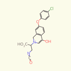 O=C=NCC(C(=O)O)N1C=C(O)c2ccc(Oc3ccc(Cl)cc3)cc2C1